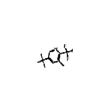 Cc1cc(C(C)(C)C)cnc1C(F)(F)F